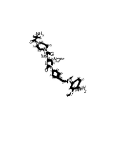 COC1CC(N(C)Cc2ccc(-n3ccc(NC(=O)N4CCN(C(=O)C(C)(C)N)CC4)nc3=O)cc2)CCC1N.Cl